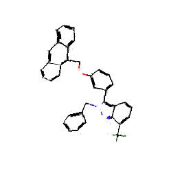 FC(F)(F)c1cccc2c(-c3cccc(OCc4c5ccccc5cc5ccccc45)c3)n(Cc3ccccc3)nc12